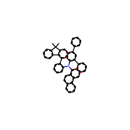 CC1(C)c2ccccc2-c2c(-c3ccccc3N(c3ccc(-c4ccccc4)cc3-c3ccccc3)c3cccc4c3ccc3ccccc34)cccc21